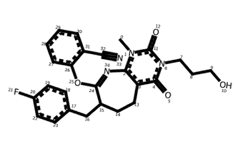 Cn1c2c(c(=O)n(CCCO)c1=O)CCC(Cc1ccc(F)cc1)C(Oc1ccccc1C#N)=N2